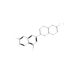 CCC1CCC2CC(c3cc(F)c4cc(C(F)(F)F)c(F)cc4c3)CCC2C1